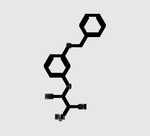 CC(O)C(O)Oc1cccc(OCc2ccccc2)c1